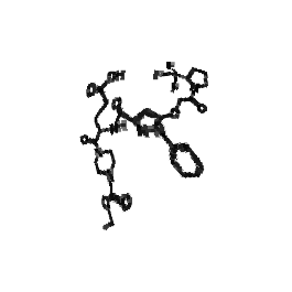 CCOC(=O)N1CCN(C(=O)C(CCC(=O)O)NC(=O)c2cc(OCC(=O)N3CCCC3C(F)(F)F)n(-c3ccccc3)n2)CC1